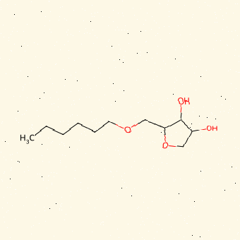 CCCCCCOCC1OCC(O)C1O